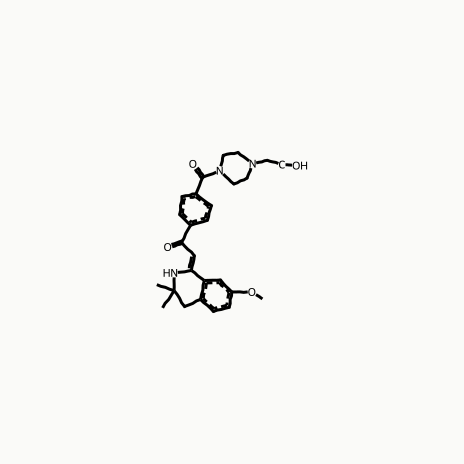 COc1ccc2c(c1)C(=CC(=O)c1ccc(C(=O)N3CCN(CCO)CC3)cc1)NC(C)(C)C2